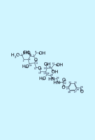 CC(C)CC1C(O)C(CO)OC(COCC(C(O)CNCNC(=O)Oc2ccc(C=O)cc2)C(O)C(O)CO)C1O